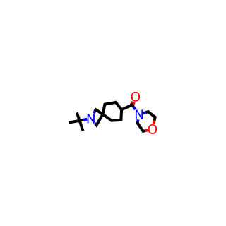 CC(C)(C)N1CC2(CCC(C(=O)N3CCOCC3)CC2)C1